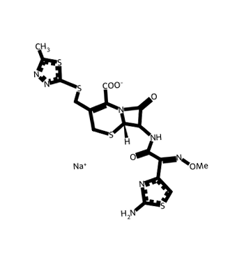 CON=C(C(=O)NC1C(=O)N2C(C(=O)[O-])=C(CSc3nnc(C)s3)CS[C@@H]12)c1csc(N)n1.[Na+]